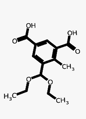 CCOC(OCC)c1cc(C(=O)O)cc(C(=O)O)c1C